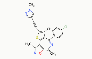 Cc1noc2c1-c1sc(C#Cc3cnn(C)c3)c(C)c1C(c1ccc(Cl)cc1)=N[C@H]2C